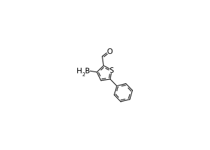 Bc1cc(-c2ccccc2)sc1C=O